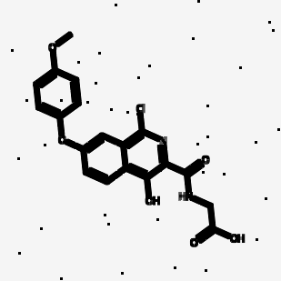 COc1ccc(Oc2ccc3c(O)c(C(=O)NCC(=O)O)nc(Cl)c3c2)cc1